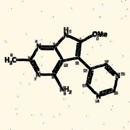 COc1[nH]c2nc(C)nc(N)c2c1-c1cncnc1